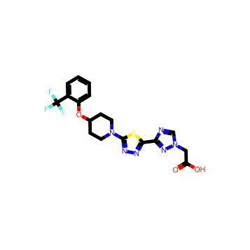 O=C(O)Cn1cnc(-c2nnc(N3CCC(Oc4ccccc4C(F)(F)F)CC3)s2)n1